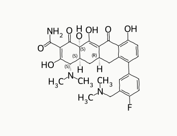 CN(C)Cc1cc(-c2ccc(O)c3c2C[C@H]2C[C@H]4[C@H](N(C)C)C(O)=C(C(N)=O)C(=O)[C@@]4(O)C(O)=C2C3=O)ccc1F